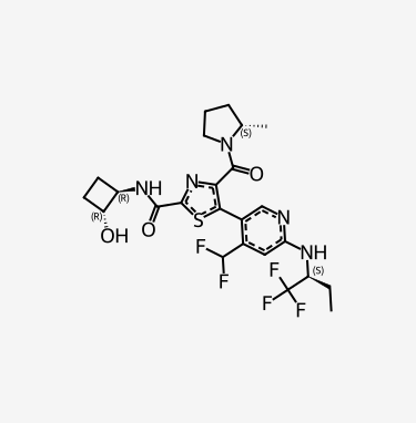 CC[C@H](Nc1cc(C(F)F)c(-c2sc(C(=O)N[C@@H]3CC[C@H]3O)nc2C(=O)N2CCC[C@@H]2C)cn1)C(F)(F)F